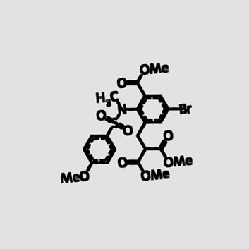 COC(=O)c1cc(Br)cc(CC(C(=O)OC)C(=O)OC)c1N(C)S(=O)(=O)c1ccc(OC)cc1